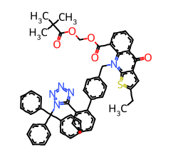 CCc1cc2c(=O)c3cccc(C(=O)OCOC(=O)C(C)(C)C)c3n(Cc3ccc(-c4ccccc4-c4nnnn4C(c4ccccc4)(c4ccccc4)c4ccccc4)cc3)c2s1